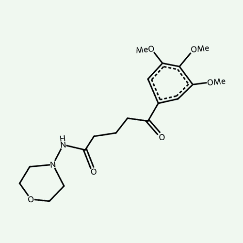 COc1cc(C(=O)CCCC(=O)NN2CCOCC2)cc(OC)c1OC